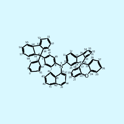 c1ccc(C2(c3ccc(N(c4ccc5c(c4)[Si]4(c6ccccc6Oc6ccccc64)c4ccccc4-5)c4cccc5ccccc45)cc3)c3ccccc3-c3ccccc32)cc1